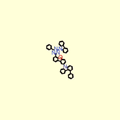 c1ccc(-c2nc(-c3cccc4c3oc3ccc(-n5c6ccccc6c6c(-c7ccccc7)cccc65)cc34)nc(-n3c4ccccc4c4ccccc43)n2)cc1